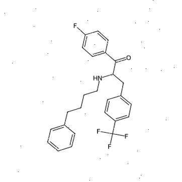 O=C(c1ccc(F)cc1)C(Cc1ccc(C(F)(F)F)cc1)NCCCCc1ccccc1